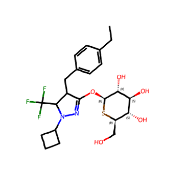 CCc1ccc(CC2C(O[C@@H]3S[C@H](CO)[C@@H](O)[C@H](O)[C@H]3O)=NN(C3CCC3)C2C(F)(F)F)cc1